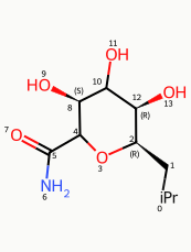 CC(C)C[C@H]1OC(C(N)=O)[C@@H](O)C(O)[C@H]1O